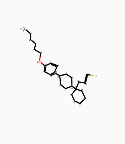 CCCCCCOc1ccc(C2CCC(C3(C/C=C/F)CCCCC3)CC2)cc1